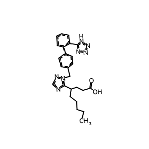 CCCCCC(CCC(=O)O)c1ncnn1Cc1ccc(-c2ccccc2-c2nnn[nH]2)cc1